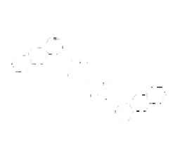 O=P1(Cc2cccc3cc4ccccc4cc23)OCC2(CO1)COP(=O)(Cc1cccc3cc4ccccc4cc13)OC2